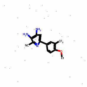 CCOc1ccc(-c2cc(N)c(N)c(C#N)n2)cc1C(F)(F)F